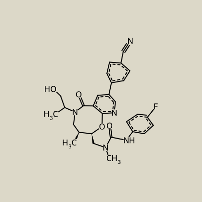 CC(CO)N1C[C@H](C)[C@H](CN(C)C(=O)Nc2ccc(F)cc2)Oc2ncc(-c3ccc(C#N)cc3)cc2C1=O